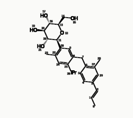 C/C=C/c1ccc(Cc2cc([C@@H]3O[C@H](CO)[C@@H](O)[C@H](O)[C@H]3O)c(C)cc2C(C)C)c(C)c1